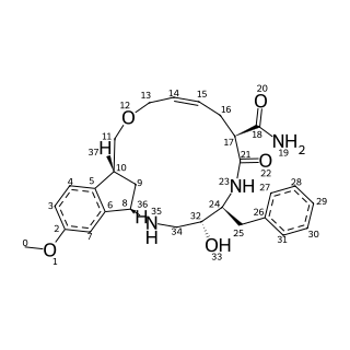 COc1ccc2c(c1)[C@@H]1C[C@H]2COC/C=C\C[C@@H](C(N)=O)C(=O)N[C@@H](Cc2ccccc2)[C@H](O)CN1